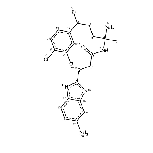 CCC(CCC(C)(N)NC(=O)CSc1nc2ccc(N)cc2s1)c1ccc(Cl)c(Cl)c1